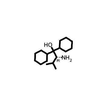 CC(C)[C@@H](N)C(O)(C1CCCCC1)C1CCCCC1